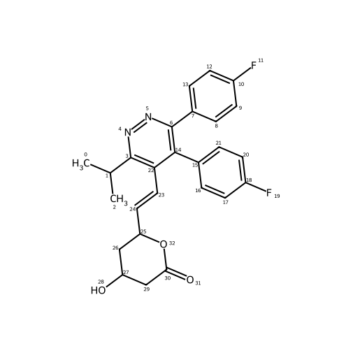 CC(C)c1nnc(-c2ccc(F)cc2)c(-c2ccc(F)cc2)c1C=CC1CC(O)CC(=O)O1